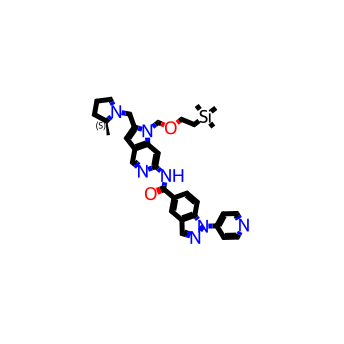 C[C@H]1CCCN1Cc1cc2cnc(NC(=O)c3ccc4c(cnn4-c4ccncc4)c3)cc2n1COCC[Si](C)(C)C